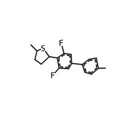 Cc1ccc(-c2cc(F)c(C3CCC(C)S3)c(F)c2)cc1